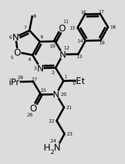 CCC(c1nc2onc(C)c2c(=O)n1Cc1ccccc1)N(CCCN)C(=O)CC(C)C